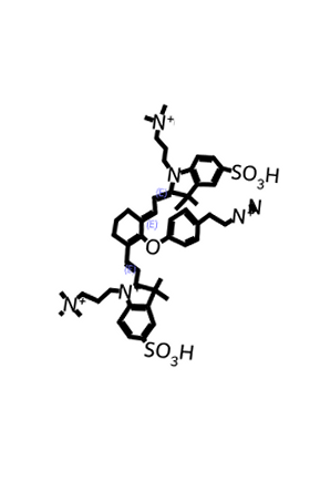 CC1(C)C(/C=C/C2=C(Oc3ccc(CC[N+]#N)cc3)C(=C/C=C3/N(CCC[N+](C)(C)C)c4ccc(S(=O)(=O)O)cc4C3(C)C)/CCC2)=[N+](CCC[N+](C)(C)C)c2ccc(S(=O)(=O)O)cc21